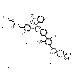 CCOC(=O)CCc1ccc(N(Cc2cccc(-c3c(C)cc(OCC4(O)CCS(O)(O)CC4)cc3C)c2)S(=O)(=O)c2ccccc2[N+](=O)[O-])cc1F